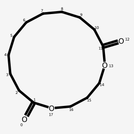 O=C1CCCCCCCCCC(=O)OCCCO1